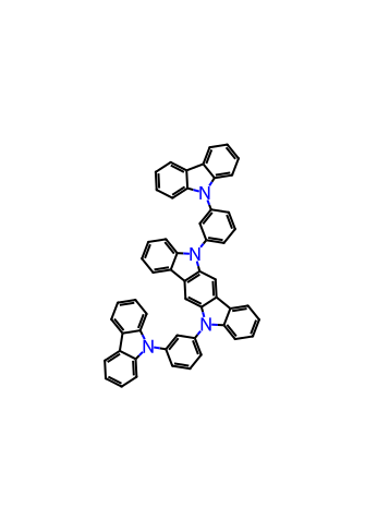 c1cc(-n2c3ccccc3c3ccccc32)cc(-n2c3ccccc3c3cc4c(cc32)c2ccccc2n4-c2cccc(-n3c4ccccc4c4ccccc43)c2)c1